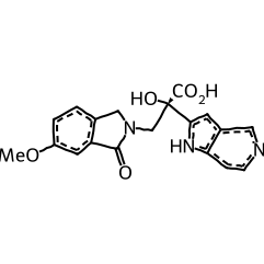 COc1ccc2c(c1)C(=O)N(C[C@@](O)(C(=O)O)c1cc3cnccc3[nH]1)C2